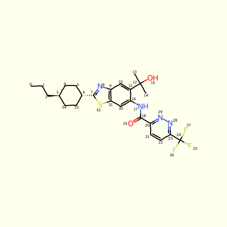 CCC[C@H]1CC[C@H](c2nc3cc(C(C)(C)O)c(NC(=O)c4ccc(C(F)(F)F)nn4)cc3s2)CC1